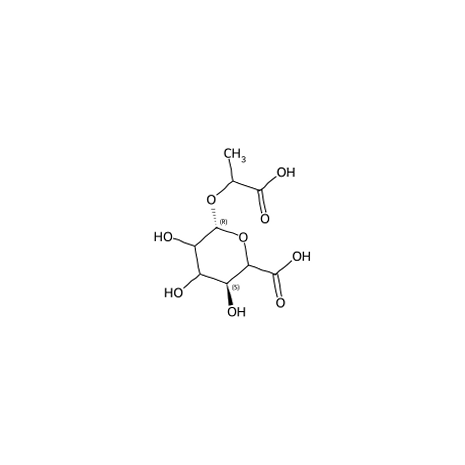 CC(O[C@@H]1OC(C(=O)O)[C@@H](O)C(O)C1O)C(=O)O